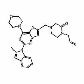 C=CCN1CCN(Cc2cc3nc(-n4c(C)nc5ccccc54)nc(N4CCOCC4)c3s2)CC1=O